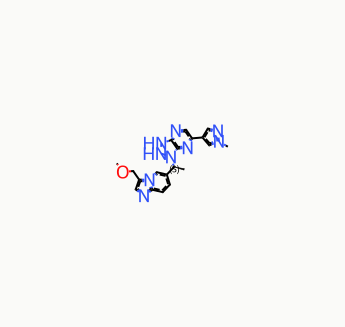 COCc1cnc2ccc([C@H](C)N3NNc4ncc(-c5cnn(C)c5)nc43)cn12